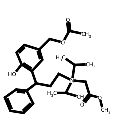 COC(=O)C[N+](CCC(c1ccccc1)c1cc(COC(C)=O)ccc1O)(C(C)C)C(C)C